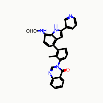 Cc1c(-c2ccc(NC=O)c3[nH]c(-c4cccnc4)cc23)cccc1-n1cnc2ccccc2c1=O